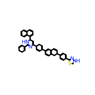 C1=CC(C2=NC(C3C=CC(c4ccc5c(c4)C=CC(c4ccc(C6=NNCS6)cc4)C5)=CC3)=CC(c3cccc4ccccc34)N2)=CCC1